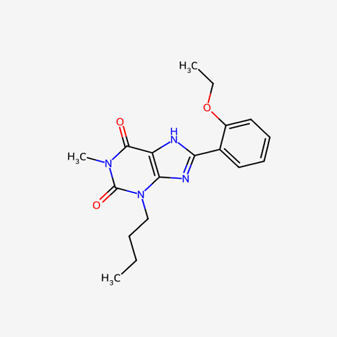 CCCCn1c(=O)n(C)c(=O)c2[nH]c(-c3ccccc3OCC)nc21